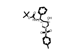 Cc1ccc(S(=O)(=O)N2C[C@H]([C@@H](NC(=O)OC(C)(C)C)c3ccccc3)[C@H](O)C2)cc1